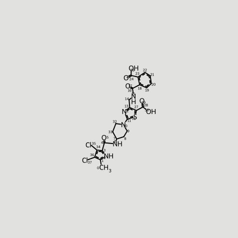 Cc1[nH]c(C(=O)NC2CCN(c3nc(CNC(=O)c4ccccc4C(=O)O)c(C(=O)O)s3)CC2)c(Cl)c1Cl